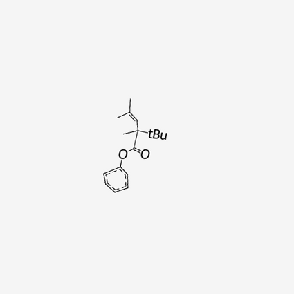 CC(C)=CC(C)(C(=O)Oc1ccccc1)C(C)(C)C